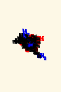 CCCCCCCC(=O)N[C@@H](CN)C(=O)N[C@H](C(=O)N[C@@H](C)C(=O)N[C@@H](CCCCN)C(=O)N[C@@H](C)B1O[C@@H]2C[C@@H]3C[C@@H](C3(C)C)[C@]2(C)O1)[C@@H](C)O